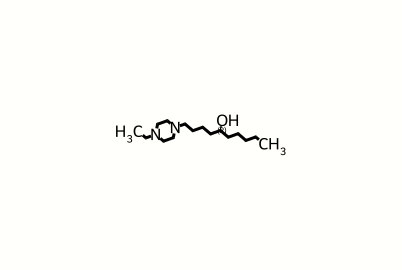 CCCCC[C@@H](O)CCCCN1CCN(CC)CC1